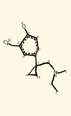 CCN(C)CC1(c2ccc(Cl)c(Cl)c2)CC1